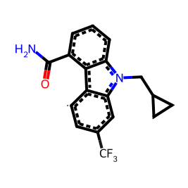 NC(=O)c1cccc2c1c1[c]cc(C(F)(F)F)cc1n2CC1CC1